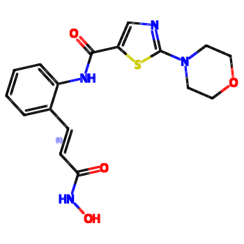 O=C(/C=C/c1ccccc1NC(=O)c1cnc(N2CCOCC2)s1)NO